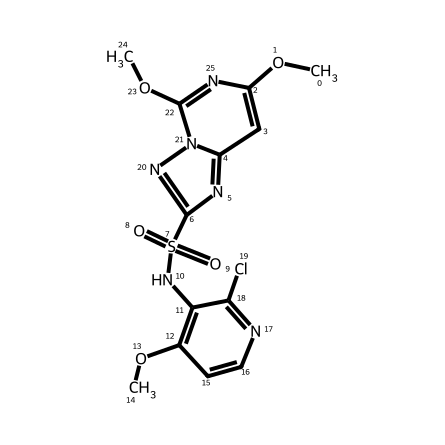 COc1cc2nc(S(=O)(=O)Nc3c(OC)ccnc3Cl)nn2c(OC)n1